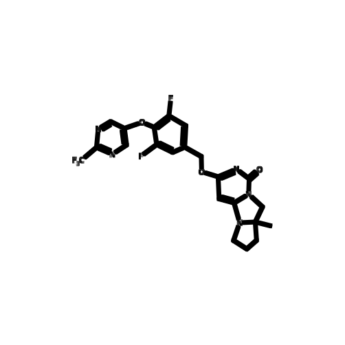 CC12CCCN1c1cc(OCc3cc(F)c(Oc4cnc(C(F)(F)F)nc4)c(F)c3)nc(=O)n1C2